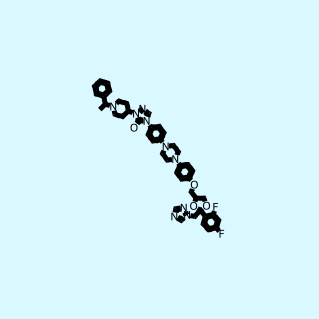 CC(c1ccccc1)N1CCC(n2ncn(-c3ccc(N4CCN(c5ccc(OCC6COC(Cn7cncn7)(c7ccc(F)cc7F)O6)cc5)CC4)cc3)c2=O)CC1